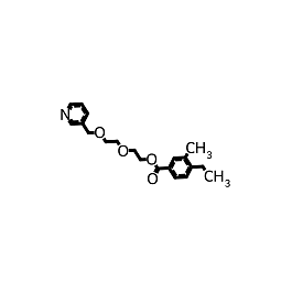 CCc1ccc(C(=O)OCCOCCOCc2cccnc2)cc1C